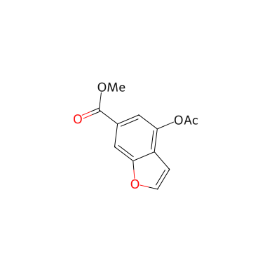 COC(=O)c1cc(OC(C)=O)c2ccoc2c1